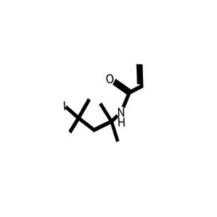 C=CC(=O)NC(C)(C)CC(C)(C)I